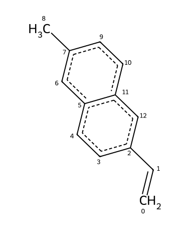 C=Cc1ccc2cc(C)ccc2c1